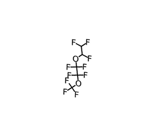 FC(F)C(F)OC(F)(F)C(F)(F)OC(F)(F)F